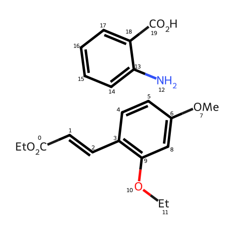 CCOC(=O)/C=C/c1ccc(OC)cc1OCC.Nc1ccccc1C(=O)O